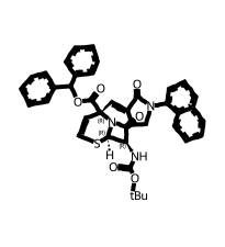 CC(C)(C)OC(=O)N[C@@H]1C(=O)N2[C@@H]1SC=C[C@]2(C=C1CCN(c2cccc3ccccc23)C1=O)C(=O)OC(c1ccccc1)c1ccccc1